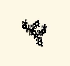 CC1=C(C(=O)OC2C(C)CC(C)CC2C)C(NC(=O)c2cccc(C(F)(F)F)c2)=N/C1=C\c1[nH]c(NC(=O)c2cccc(C(F)(F)F)c2)c(C(=O)OC2C(C)CC(C)CC2C)c1C